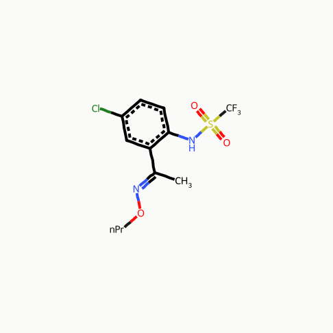 CCCO/N=C(\C)c1cc(Cl)ccc1NS(=O)(=O)C(F)(F)F